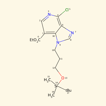 CCOC(=O)c1cnc(Cl)c2ncn(CCCO[Si](C)(C)C(C)(C)C)c12